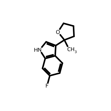 CC1(c2c[nH]c3cc(F)ccc23)CCCO1